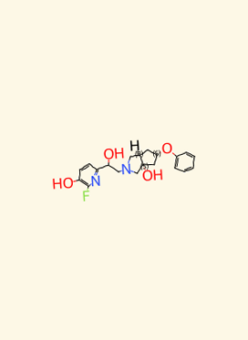 Oc1ccc(C(O)CN2C[C@H]3C[C@H](Oc4ccccc4)C[C@@]3(O)C2)nc1F